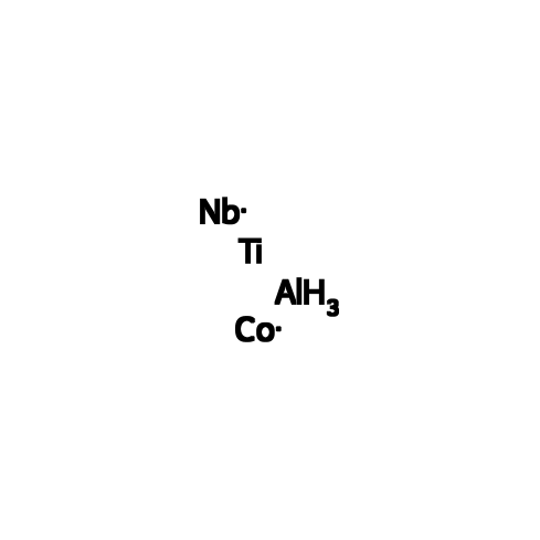 [AlH3].[Co].[Nb].[Ti]